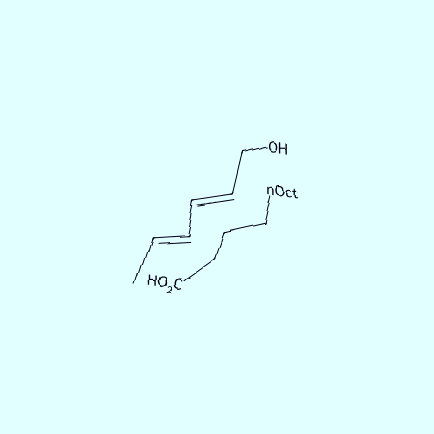 CC=CC=CCO.CCCCCCCCCCCC(=O)O